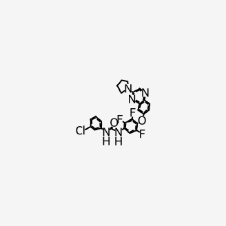 O=C(Nc1cccc(Cl)c1)Nc1cc(F)c(Oc2ccc3ncc(N4CCCC4)nc3c2)c(F)c1F